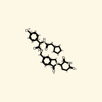 O=C1CCC(N2Cc3cc(CNC(=O)C(NC(=O)CC4CCCC4)c4ccc(Cl)cc4)ccc3C2=O)C(=O)N1